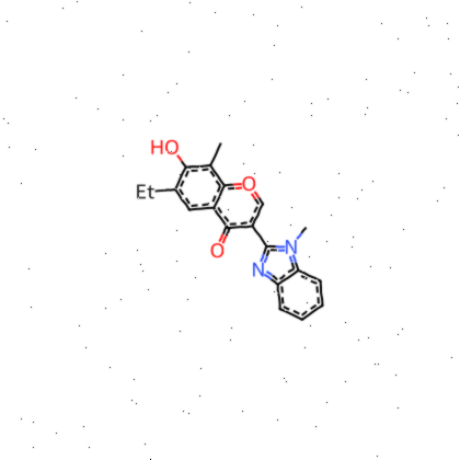 CCc1cc2c(=O)c(-c3nc4ccccc4n3C)coc2c(C)c1O